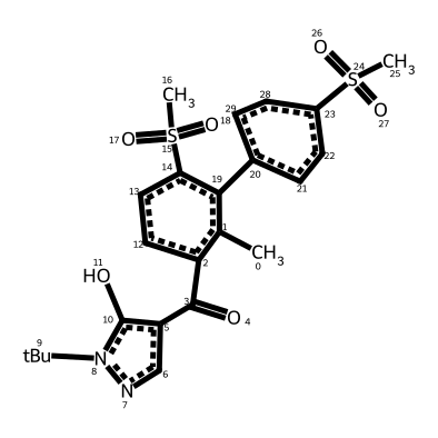 Cc1c(C(=O)c2cnn(C(C)(C)C)c2O)ccc(S(C)(=O)=O)c1-c1ccc(S(C)(=O)=O)cc1